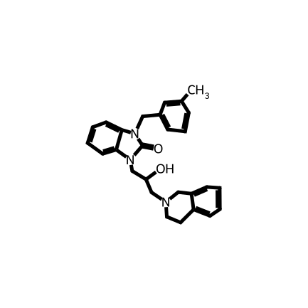 Cc1cccc(Cn2c(=O)n(CC(O)CN3CCc4ccccc4C3)c3ccccc32)c1